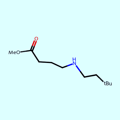 COC(=O)CCCNCCC(C)(C)C